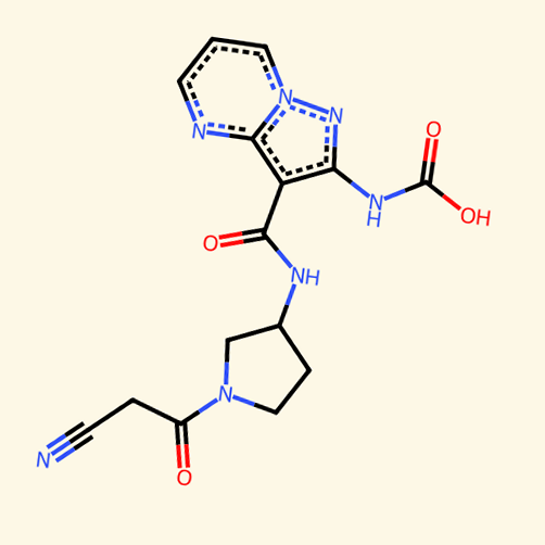 N#CCC(=O)N1CCC(NC(=O)c2c(NC(=O)O)nn3cccnc23)C1